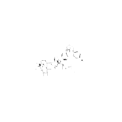 CCN(CC(=O)N(N)c1ccc([C@H]2CCCN2c2ccc(C(C)(C)C)cc2)cc1)C(=O)[C@@H](NC(=O)OC)C(C)C